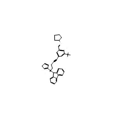 CC(C)(C)c1cc(C#CCCC(C)(C2=CCC=C2)C2c3ccccc3-c3ccccc32)cc(/C=N/C2CCCC2)c1O